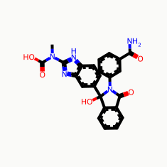 CN(C(=O)O)c1nc2cc(C3(O)c4ccccc4C(=O)N3c3cccc(C(N)=O)c3)ccc2[nH]1